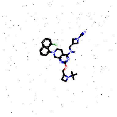 CN(CC1CN(C#N)C1)c1nc(OCC2CCN2C(C)(C)C)nc2c1CCN(c1cccc3cccc(Cl)c13)C2